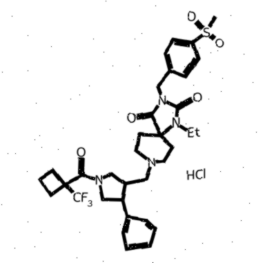 CCN1C(=O)N(Cc2ccc(S(C)(=O)=O)cc2)C(=O)C12CCN(CC1CN(C(=O)C3(C(F)(F)F)CCC3)CC1c1ccccc1)CC2.Cl